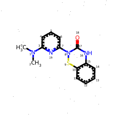 CN(C)c1cccc(N2Sc3ccccc3NC2=O)n1